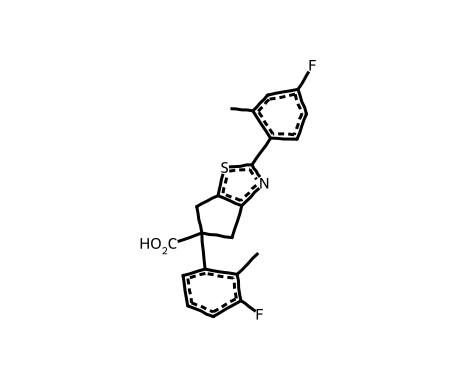 Cc1cc(F)ccc1-c1nc2c(s1)CC(C(=O)O)(c1cccc(F)c1C)C2